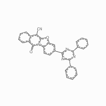 N#Cc1c2ccccc2c(=O)n2c1oc1cc(-c3nc(-c4ccccc4)nc(-c4ccccc4)n3)ccc12